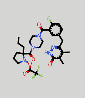 CCCC1(C(=O)N2CCN(C(=O)c3cc(Cc4n[nH]c(=O)c(C)c4C)ccc3F)CC2)CCCN1OC(=O)C(F)(F)F